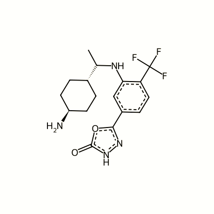 CC(Nc1cc(-c2n[nH]c(=O)o2)ccc1C(F)(F)F)[C@H]1CC[C@H](N)CC1